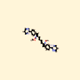 CCOn1c(CCCCc2cc3ccc(C4=NCCCN4)cc3n2OCC)cc2ccc(C3=NCCCN3)cc21